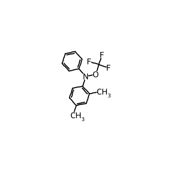 Cc1ccc(N(OC(F)(F)F)c2ccccc2)c(C)c1